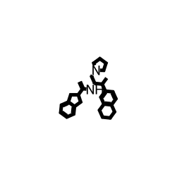 C=C(NC(CN1CCCC1)C(C)c1ccc2c(c1)CCCC2)C1Cc2ccccc2C1